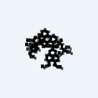 COc1ccc(CN(Cc2ccc(OC)cc2)S(=O)(=O)c2c(S(=O)(=O)CC[Si](C)(C)C)ccc(-c3cccc4[nH]c(CN(C(=O)O)C(C)(C)C)nc34)c2-c2nnn(Cc3ccc(OC)cc3)n2)cc1